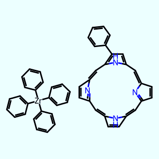 C1=Cc2cc3cc(-c4ccccc4)c(cc4nc(cc5ccc(cc1n2)[nH]5)C=C4)[nH]3.c1cc[c]([Zr]([c]2ccccc2)([c]2ccccc2)[c]2ccccc2)cc1